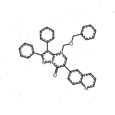 O=c1c(-c2ccc3ncccc3c2)cn(COCc2ccccc2)c2c(-c3ccccc3)c(-c3ccccc3)nn12